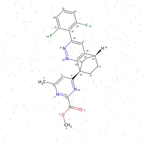 COC(=O)c1nc(C)cc([C@]23CC[C@H](CC2)c2cc(-c4c(F)cccc4F)nnc23)n1